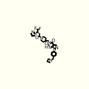 O=C(C[C@H](C(F)F)n1cccn1)N1CCC(O)(Cn2cnc3c(cnn3-c3ccc(CN4CCC4)cc3)c2=O)CC1